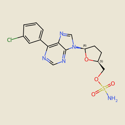 NS(=O)(=O)OC[C@@H]1CC[C@H](n2cnc3c(-c4cccc(Cl)c4)ncnc32)O1